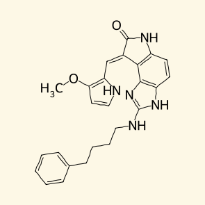 COc1cc[nH]c1/C=C1/C(=O)Nc2ccc3[nH]c(NCCCCc4ccccc4)nc3c21